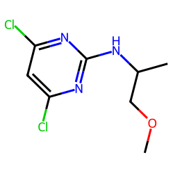 COCC(C)Nc1nc(Cl)cc(Cl)n1